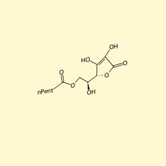 CCCCCC(=O)OC[C@H](O)[C@H]1OC(=O)C(O)=C1O